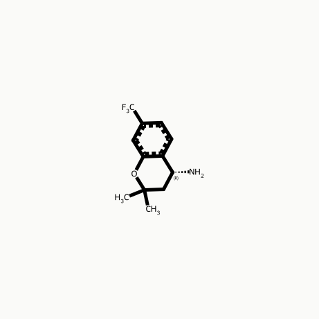 CC1(C)C[C@@H](N)c2ccc(C(F)(F)F)cc2O1